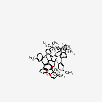 Cc1ccc(N2C3=CC(N4c5ccccc5C5C=CC(C)CC54)CC4=C3B(c3cc(C(C)(C)C)ccc3N4C3=CCC(C)C=C3c3ccc(C(C)(C)C)cc3)c3cc(C(C)(C)C)ccc32)c(-c2ccc(C(C)(C)C)cc2)c1